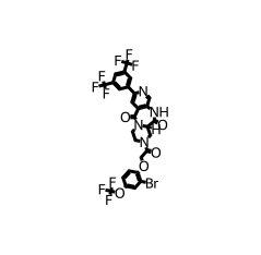 O=C1Nc2cnc(-c3cc(C(F)(F)F)cc(C(F)(F)F)c3)cc2C(=O)N2CCN(C(=O)COc3ccc(OC(F)(F)F)cc3Br)C[C@@H]12